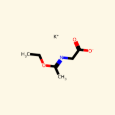 CCOC(C)=NCC(=O)[O-].[K+]